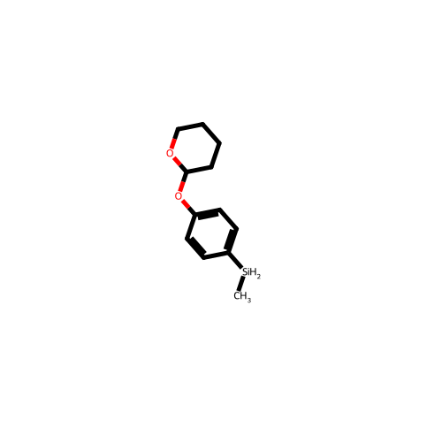 C[SiH2]c1ccc(OC2CCCCO2)cc1